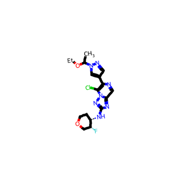 CCOC(C)n1cc(-c2ncc3nc(N[C@H]4CCOC[C@H]4F)nn3c2Cl)cn1